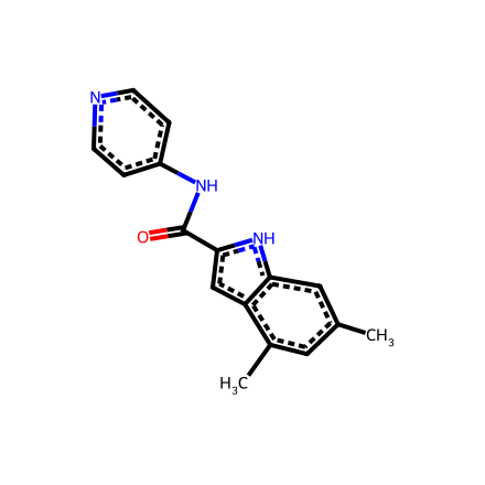 Cc1cc(C)c2cc(C(=O)Nc3ccncc3)[nH]c2c1